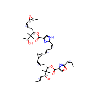 C/C=C\c1nc(C(=O)O[C@@H](C/C=C\C2C[C@@H]2/C=C/C=C\c2nc(C(=O)O[C@@H](C/C=C\[C@H]3O[C@H]3C)C(C)(C)[C@H](C)O)c[nH]2)C(C)(C)[C@@H](O)/C=C/C)co1